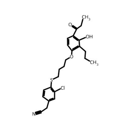 CCCc1c(OCCCCSc2ccc(CC#N)cc2Cl)ccc(C(=O)CC)c1O